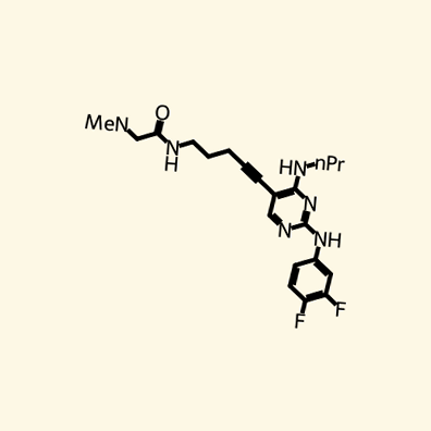 CCCNc1nc(Nc2ccc(F)c(F)c2)ncc1C#CCCCNC(=O)CNC